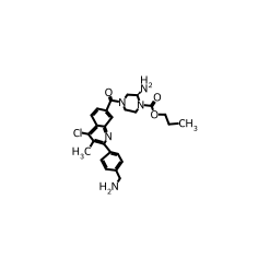 CCCOC(=O)N1CCN(C(=O)c2ccc3c(Cl)c(C)c(-c4ccc(CN)cc4)nc3c2)C[C@H]1N